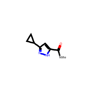 CNC(=O)c1cc(C2CC2)n[nH]1